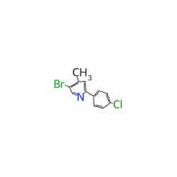 Cc1cc(-c2ccc(Cl)cc2)ncc1Br